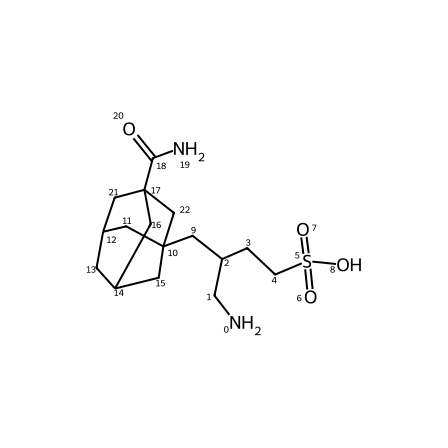 NCC(CCS(=O)(=O)O)CC12CC3CC(C1)CC(C(N)=O)(C3)C2